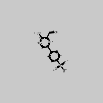 C=Cc1nc(-c2ccc(S(=O)(=O)C(C)C)cc2)cnc1N